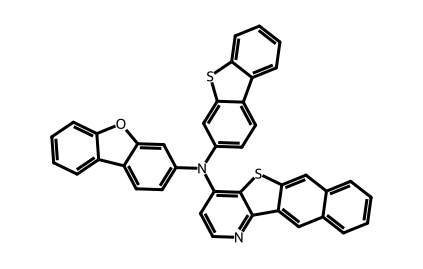 c1ccc2cc3c(cc2c1)sc1c(N(c2ccc4c(c2)oc2ccccc24)c2ccc4c(c2)sc2ccccc24)ccnc13